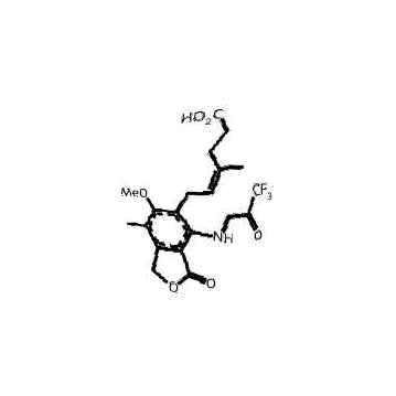 COc1c(C)c2c(c(NCC(=O)C(F)(F)F)c1CC=C(C)CCC(=O)O)C(=O)OC2